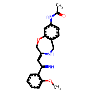 COc1ccccc1C(=N)/C=C1/COc2cc(NC(C)=O)ccc2CN1